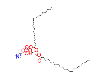 CCCCCCCC/C=C\CCCCCCCCCCCC(=O)OC[C@H](COP(=O)(O)OCC[N+](C)(C)C)OC(=O)CCCCCCCCC/C=C\CCCCCCCC